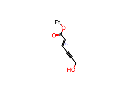 CCOC(=O)/C=C/C#CCO